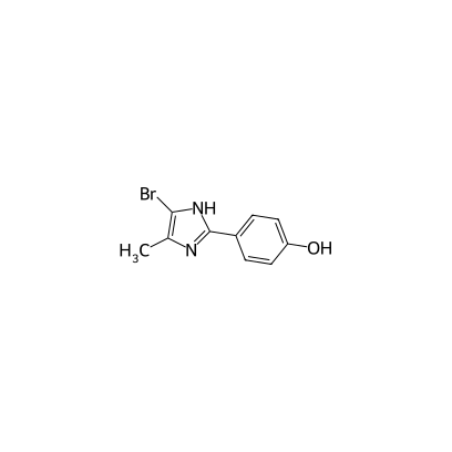 Cc1nc(-c2ccc(O)cc2)[nH]c1Br